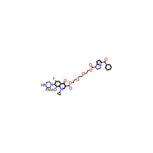 COc1c(N2CCNC(C)C2)c(F)cc2c(=O)c(C(=O)OCCOCCOCCOC(=O)C3CCn4c(C(=O)c5ccccc5)ccc43)cn(C3CC3)c12